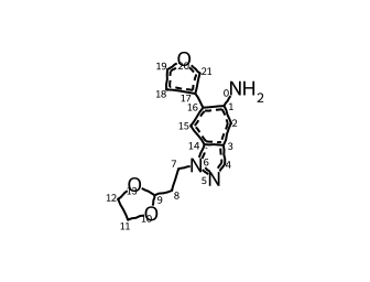 Nc1cc2cnn(CCC3OCCO3)c2cc1-c1ccoc1